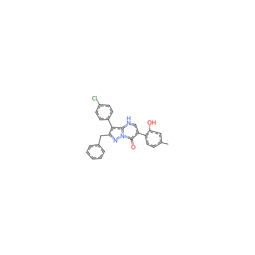 Cc1ccc(-c2c[nH]c3c(-c4ccc(Cl)cc4)c(Cc4ccccc4)nn3c2=O)c(O)c1